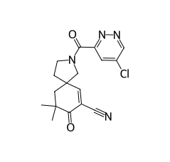 CC1(C)CC2(C=C(C#N)C1=O)CCN(C(=O)c1cc(Cl)cnn1)C2